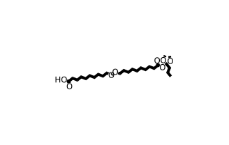 CCCC(OC)(OC)OC(=O)CCCCCCCCCOOCCCCCCCCCC(=O)O